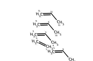 C=C.C=CC.C=CC.C=CC.C=CC